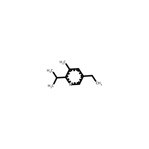 CCc1cnc(C(C)C)c(C)c1